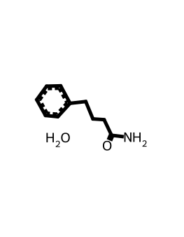 NC(=O)CCCc1ccccc1.O